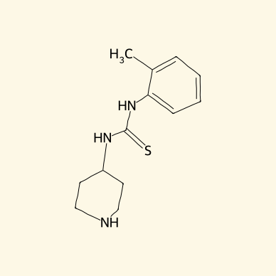 Cc1ccccc1NC(=S)NC1CCNCC1